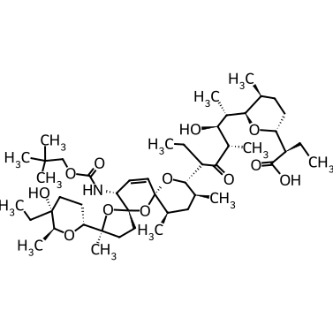 CCC(C(=O)[C@@H](C)[C@@H](O)[C@H](C)[C@@H]1O[C@@H]([C@@H](CC)C(=O)O)CC[C@@H]1C)[C@H]1O[C@]2(C=C[C@@H](NC(=O)OCC(C)(C)C)[C@]3(CC[C@@](C)([C@H]4CC[C@](O)(CC)[C@H](C)O4)O3)O2)[C@H](C)C[C@@H]1C